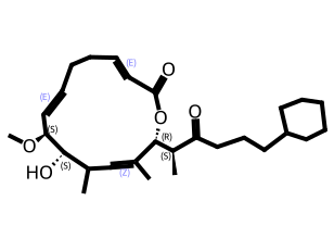 CO[C@H]1/C=C/CC/C=C/C(=O)O[C@H]([C@H](C)C(=O)CCCC2CCCCC2)/C(C)=C\C(C)[C@@H]1O